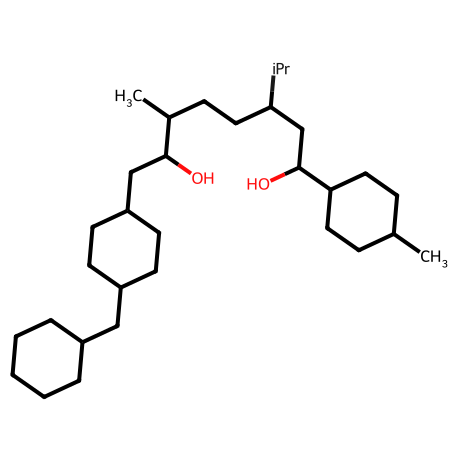 CC1CCC(C(O)CC(CCC(C)C(O)CC2CCC(CC3CCCCC3)CC2)C(C)C)CC1